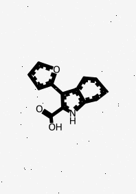 O=C(O)c1[nH]c2ccccc2c1-c1ccco1